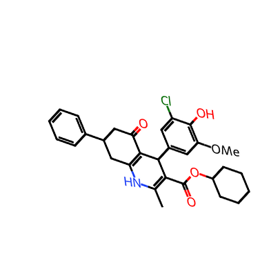 COc1cc(C2C(C(=O)OC3CCCCC3)=C(C)NC3=C2C(=O)CC(c2ccccc2)C3)cc(Cl)c1O